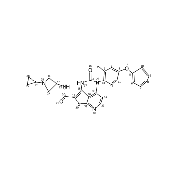 Cc1cc(Oc2ccccc2)ccc1N1C(=O)Nc2c(C(=O)NC3CN(C4CC4)C3)sc3nccc1c23